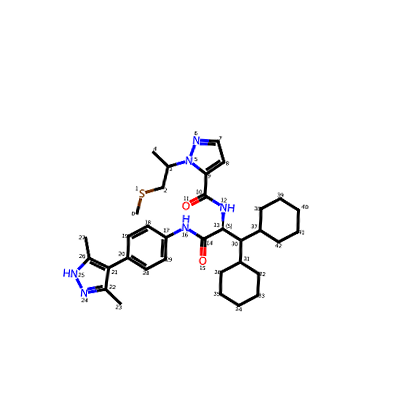 CSCC(C)n1nccc1C(=O)N[C@H](C(=O)Nc1ccc(-c2c(C)n[nH]c2C)cc1)C(C1CCCCC1)C1CCCCC1